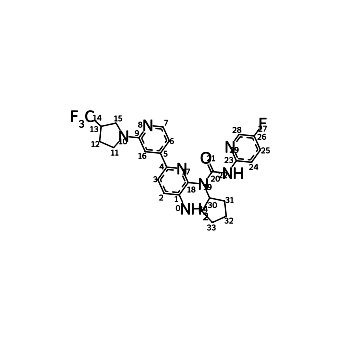 Nc1ccc(-c2ccnc(N3CCC(C(F)(F)F)C3)c2)nc1N(C(=O)Nc1ccc(F)cn1)C1CCCC1